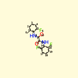 Cc1cccc(F)c1NC(=O)C(=O)Nc1c(F)cccc1F